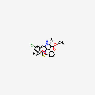 CCOC(=O)C1=C(C)NC(C)=C(C(=O)OCC)C1c1ccccc1-c1nc(-c2ccc(Cl)cc2)cs1